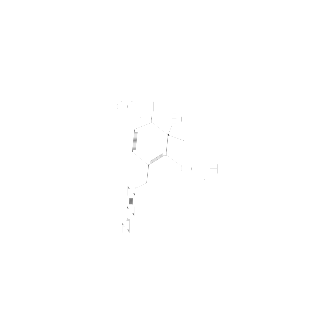 CCC1(C)C(C(=O)O)=C(CN=[N+]=[N-])C=CC1C(=O)O